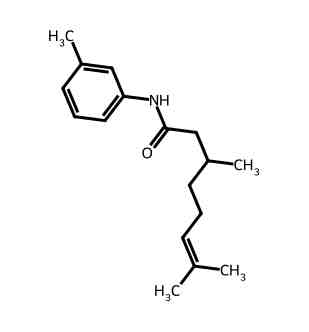 CC(C)=CCCC(C)CC(=O)Nc1cccc(C)c1